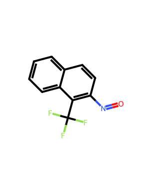 O=Nc1ccc2ccccc2c1C(F)(F)F